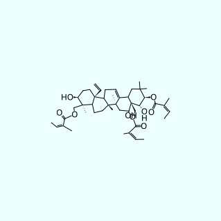 C=C[C@]12CC[C@H](O)[C@](C)(COC(=O)/C(C)=C\C)C1CC[C@]1(C)C2CC=C2C3CC(C)(C)[C@@H](OC(=O)/C(C)=C\C)[C@H](O)[C@]3(COC(=O)/C(C)=C\C)[C@H](O)C[C@]21C